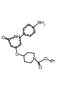 CC(C)OC(=O)N1CCC(Oc2cc(-c3ccc(N)cc3)[nH]c(=O)c2)CC1